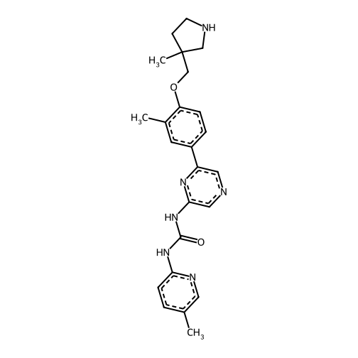 Cc1ccc(NC(=O)Nc2cncc(-c3ccc(OCC4(C)CCNC4)c(C)c3)n2)nc1